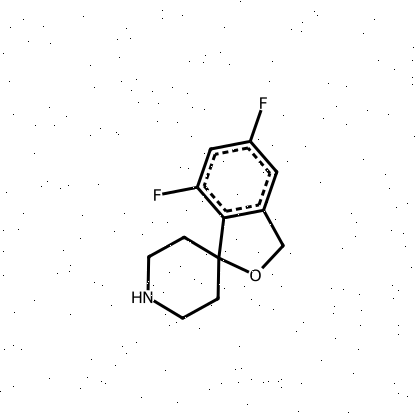 Fc1cc(F)c2c(c1)COC21CCNCC1